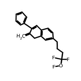 C=C1Cc2cc(CCCC(F)(F)OF)ccc2C=C1c1ccccc1